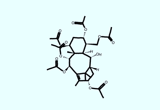 CC(=O)OC[C@H]1[C@H]2[C@H](O)[C@@H]3C[C@H](OC(C)=O)C(C)=C([C@@H](OC(C)=O)[C@H](OC(C)=O)[C@]2(C)[C@@H](OC(C)=O)C[C@@H]1OC(C)=O)C3(C)C